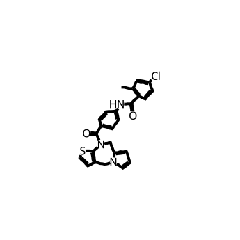 Cc1cc(Cl)ccc1C(=O)Nc1ccc(C(=O)N2Cc3cccn3Cc3ccsc32)cc1